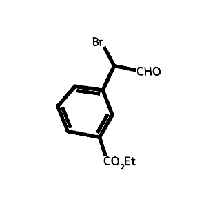 CCOC(=O)c1cccc(C(Br)C=O)c1